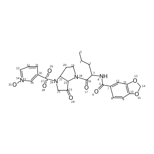 CCCC(NC(=O)c1ccc2c(c1)OCO2)C(=O)N1CCC2C1C(=O)CN2S(=O)(=O)c1ccc[n+]([O-])c1